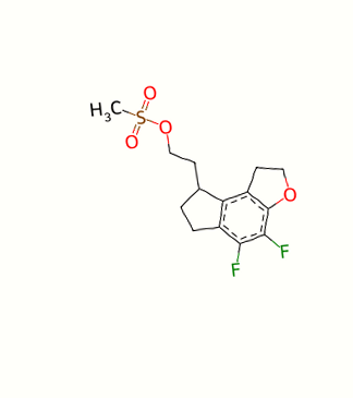 CS(=O)(=O)OCCC1CCc2c(F)c(F)c3c(c21)CCO3